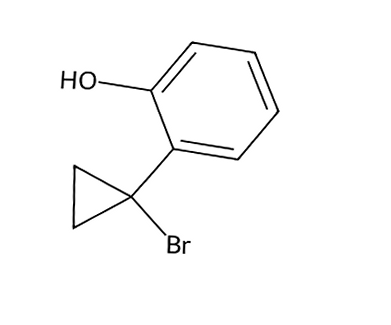 Oc1ccccc1C1(Br)CC1